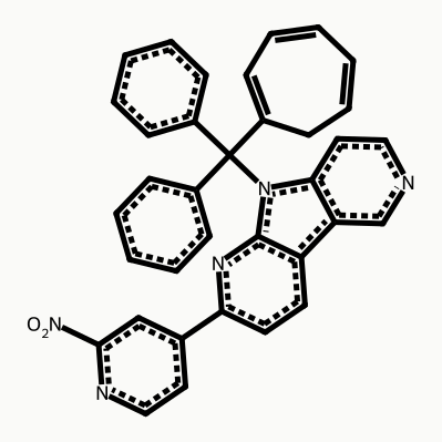 O=[N+]([O-])c1cc(-c2ccc3c4cnccc4n(C(C4=CC=CC=CC4)(c4ccccc4)c4ccccc4)c3n2)ccn1